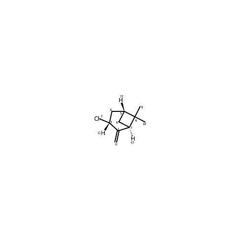 C=C1[C@H](Cl)C[C@H]2C[C@H]1C2(C)C